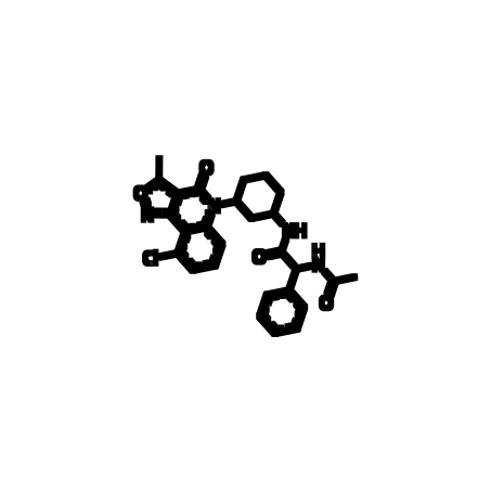 CC(=O)NC(C(=O)NC1CCCC(n2c(=O)c3c(C)onc3c3c(Cl)cccc32)C1)c1ccccc1